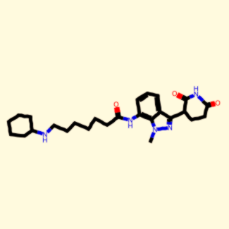 Cn1nc(C2CCC(=O)NC2=O)c2cccc(NC(=O)CCCCCCNC3CCCCC3)c21